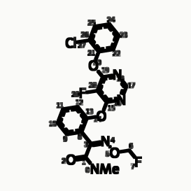 CNC(=O)C(=NOCF)c1ccccc1Oc1ncnc(Oc2ccccc2Cl)c1F